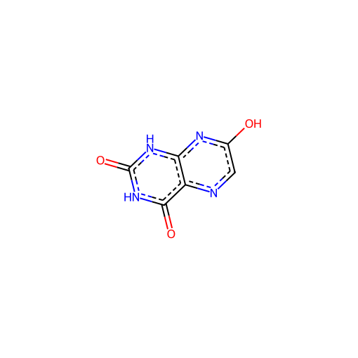 O=c1[nH]c(=O)c2ncc(O)nc2[nH]1